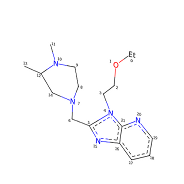 CCOCCn1c(CN2CCN(C)C(C)C2)nc2cccnc21